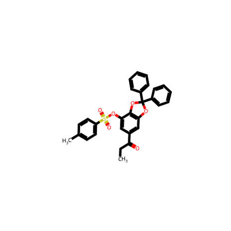 CCC(=O)c1cc2c(c(OS(=O)(=O)c3ccc(C)cc3)c1)OC(c1ccccc1)(c1ccccc1)O2